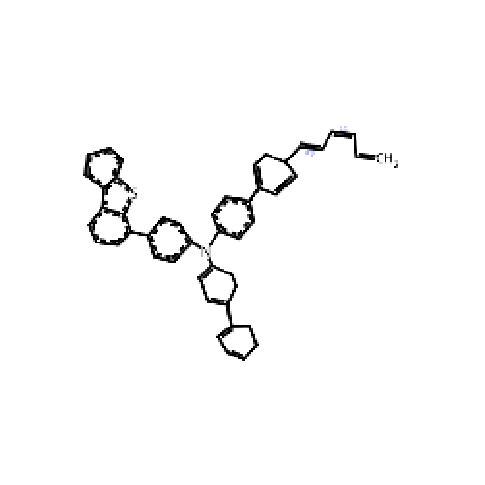 C=C/C=C\C=C\C1C=CC(c2ccc(N(C3=CC=C(C4=CC=CCC4)CC3)c3ccc(-c4cccc5c4sc4ccccc45)cc3)cc2)=CC1